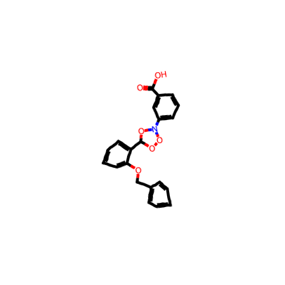 O=C(O)c1cccc(N2OOC(c3ccccc3OCc3ccccc3)O2)c1